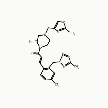 CC[C@@H]1CN(Cc2coc(C)n2)CCN1C(=O)/C=C/c1ccc(C(F)(F)F)cc1Cn1nnc(C)n1